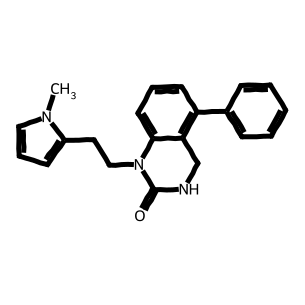 Cn1cccc1CCN1C(=O)NCc2c(-c3ccccc3)cccc21